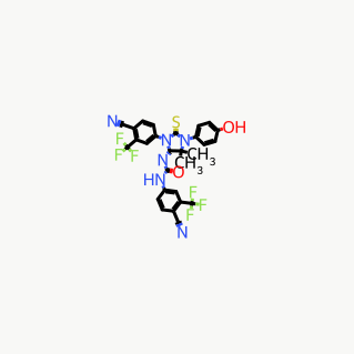 CC1(C)/C(=N\C(=O)Nc2ccc(C#N)c(C(F)(F)F)c2)N(c2ccc(C#N)c(C(F)(F)F)c2)C(=S)N1c1ccc(O)cc1